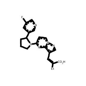 CCC(=Cc1cnn2ccc(N3CCCC3c3cncc(F)c3)nc12)C(=O)O